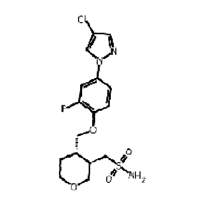 NS(=O)(=O)C[C@H]1COCC[C@@H]1COc1ccc(-n2cc(Cl)cn2)cc1F